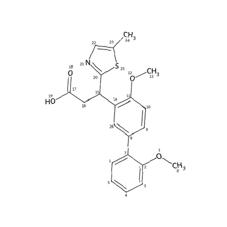 COc1ccccc1-c1ccc(OC)c(C(CC(=O)O)c2ncc(C)s2)c1